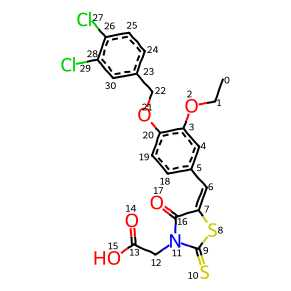 CCOc1cc(C=C2SC(=S)N(CC(=O)O)C2=O)ccc1OCc1ccc(Cl)c(Cl)c1